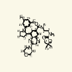 CN(CCN(C)C(=O)c1cc(C2CCCN2c2cc(F)cc(F)c2)c2nc(N3CCOCC3)cnc2c1)C(=O)OC(C)(C)C